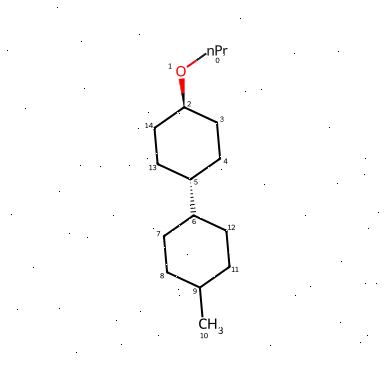 CCCO[C@H]1CC[C@H](C2CCC(C)CC2)CC1